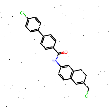 O=C(Nc1ccc2c(c1)CCC(CCl)=C2)c1ccc(-c2ccc(Cl)cc2)cc1